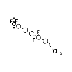 CCCCCC1CCC(c2cc(F)c(C3CCC(C4CCC(c5ccc(OC(F)(F)F)c(F)c5)CC4)CC3)c(F)c2)CC1